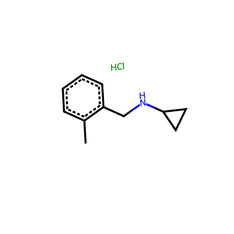 Cc1ccccc1CNC1CC1.Cl